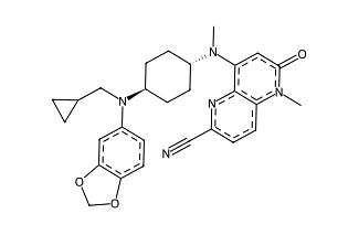 Cn1c(=O)cc(N(C)[C@H]2CC[C@H](N(CC3CC3)c3ccc4c(c3)OCO4)CC2)c2nc(C#N)ccc21